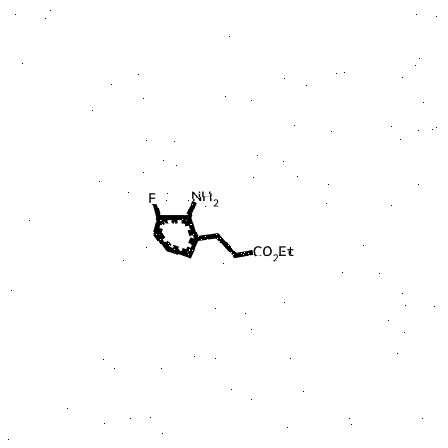 CCOC(=O)CCc1cccc(F)c1N